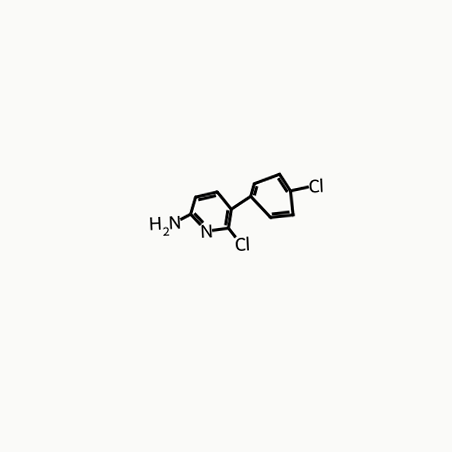 Nc1ccc(-c2ccc(Cl)cc2)c(Cl)n1